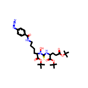 CC(C)(C)OC(=O)CCC(NC(=S)N(O)C(CCCCNC(=O)c1ccc(N=[N+]=[N-])cc1)C(=O)OC(C)(C)C)C(=O)OC(C)(C)C